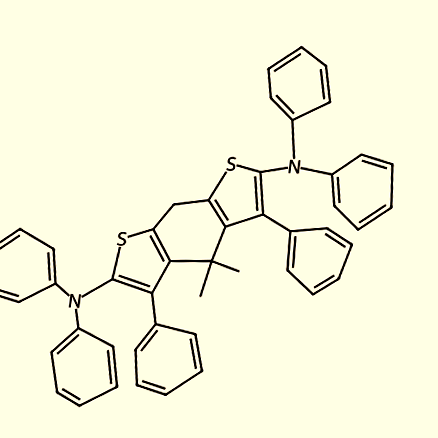 CC1(C)c2c(sc(N(c3ccccc3)c3ccccc3)c2-c2ccccc2)Cc2sc(N(c3ccccc3)c3ccccc3)c(-c3ccccc3)c21